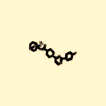 CC1(NC(=O)C2CCN(c3ccnc(-c4ccc(F)cc4)n3)CC2)CCN2CCC1CC2